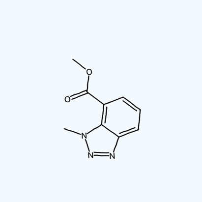 COC(=O)c1cccc2nnn(C)c12